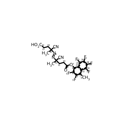 Cc1c(F)c(F)c(OC(=O)CCC(C)(C#N)N=NC(C)(C#N)CCC(=O)O)c2c(F)c(F)c(F)c(F)c12